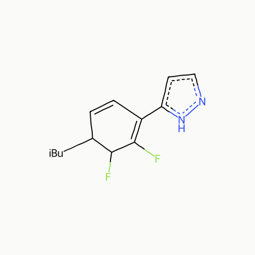 CCC(C)C1C=CC(c2ccn[nH]2)=C(F)C1F